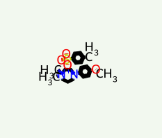 COc1ccc(N2CCC[N+](C)(C)CC2)cc1.Cc1ccc(S(=O)(=O)[O-])cc1